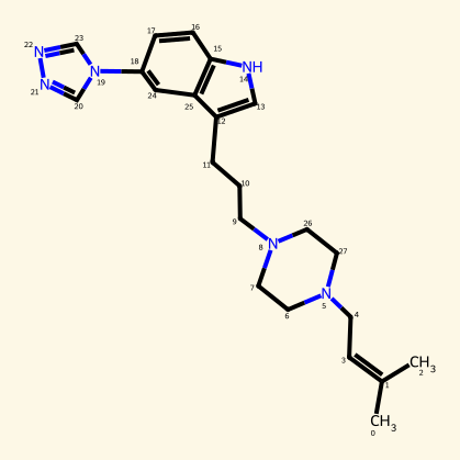 CC(C)=CCN1CCN(CCCc2c[nH]c3ccc(-n4cnnc4)cc23)CC1